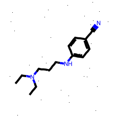 CCN(CC)CCCNc1ccc(C#N)cc1